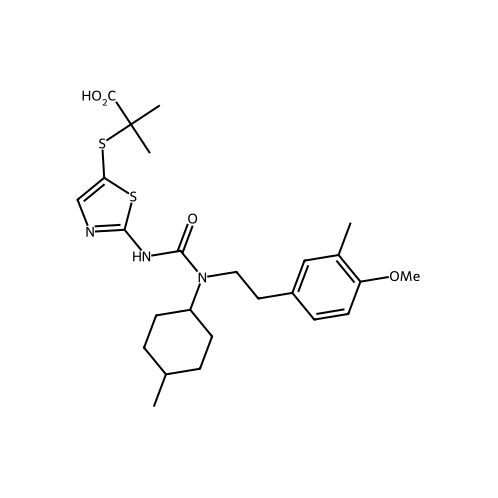 COc1ccc(CCN(C(=O)Nc2ncc(SC(C)(C)C(=O)O)s2)C2CCC(C)CC2)cc1C